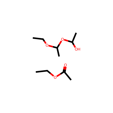 CCOC(C)=O.CCOC(C)OC(C)O